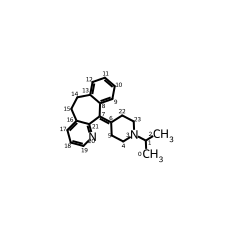 CC(C)N1CCC(=C2c3ccccc3CCc3cccnc32)CC1